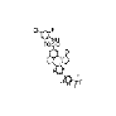 Cn1nc(C(F)(F)F)cc1-c1cnc(N2CCc3cc(S(=O)(=O)Nc4c(F)cc(Cl)cc4F)cc(N4CCCC4=O)c32)nc1